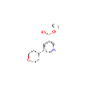 COC(=O)c1cncc(C2CCOCC2)c1